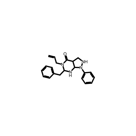 C=CCN1C(=O)C2CNN(c3ccccc3)C2NC1Cc1ccccc1